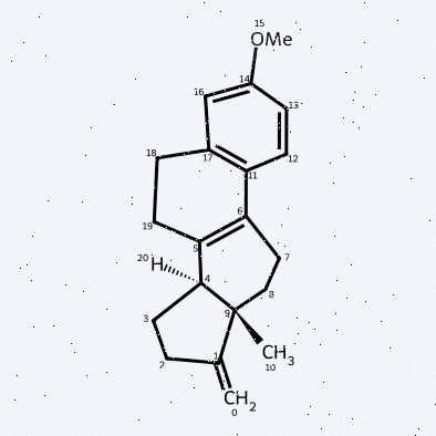 C=C1CC[C@H]2C3=C(CC[C@]12C)c1ccc(OC)cc1CC3